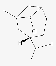 CC(I)[C@H]1CCC2CC(C)(C1)C2Cl